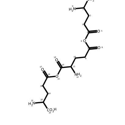 NC(CCC(=O)OC(=O)CCC(N)C(=O)OC(=O)CCC(N)C(=O)O)C(=O)O